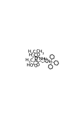 C[C@H](NC(=O)[C@H](Cc1cn(C(c2ccccc2)(c2ccccc2)c2ccccc2)cn1)NC(=O)OC(C)(C)C)C(=O)O